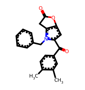 Cc1ccc(C(=O)c2cc3c(n2Cc2ccccc2)CC(=O)O3)cc1C